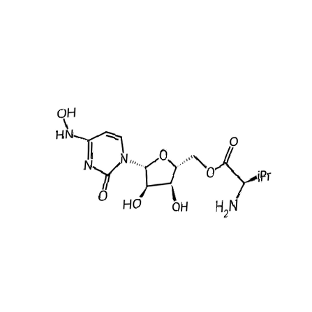 CC(C)[C@@H](N)C(=O)OC[C@H]1O[C@@H](n2ccc(NO)nc2=O)[C@H](O)[C@@H]1O